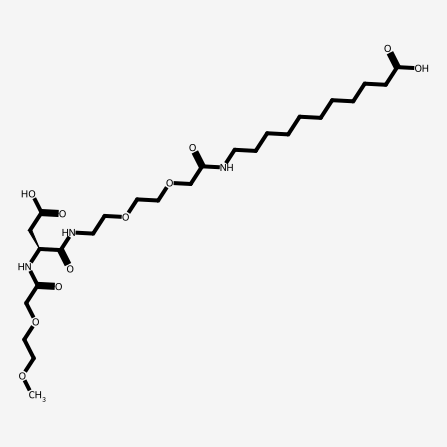 COCCOCC(=O)N[C@@H](CC(=O)O)C(=O)NCCOCCOCC(=O)NCCCCCCCCCCC(=O)O